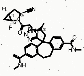 C=C(NC)c1ccc2c(c1)CCc1cc(C(=O)NC)ccc1C2(C[C@H](C)NCC(=O)N1[C@H](C#N)C[C@@H]2C[C@@H]21)c1nnnn1C